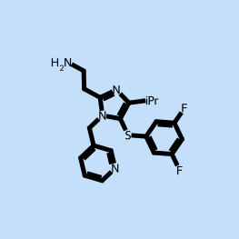 CC(C)c1nc(CCN)n(Cc2cccnc2)c1Sc1cc(F)cc(F)c1